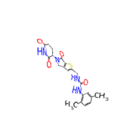 Cc1ccc(C)c(NC(=O)NCc2cc3c(s2)C(=O)N(C2CCC(=O)NC2=O)C3)c1